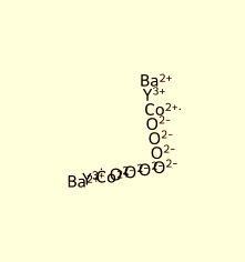 [Ba+2].[Ba+2].[Co+2].[Co+2].[O-2].[O-2].[O-2].[O-2].[O-2].[O-2].[O-2].[Y+3].[Y+3]